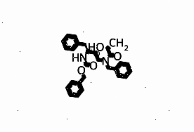 C=CC(=O)N(Cc1ccccc1)C[C@@H](O)[C@H](Cc1ccccc1)NC(=O)OCc1ccccc1